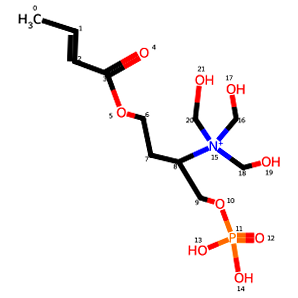 CC=CC(=O)OCCC(COP(=O)(O)O)[N+](CO)(CO)CO